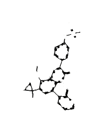 COc1c(C2(C)CC2)cc(-c2ccc[nH]c2=O)c2[nH]c(=O)c(-c3ccc(NS(C)(=O)=O)cc3)cc12